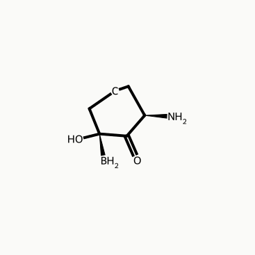 B[C@@]1(O)CCC[C@@H](N)C1=O